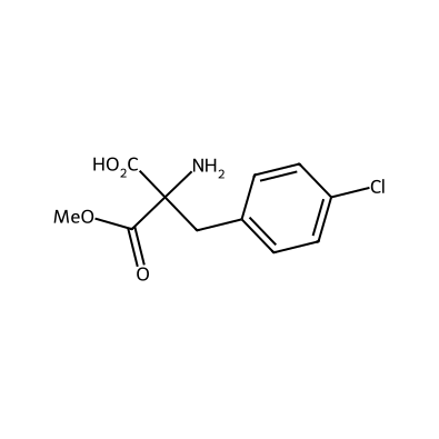 COC(=O)C(N)(Cc1ccc(Cl)cc1)C(=O)O